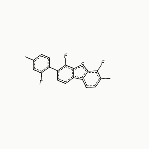 Cc1ccc(-c2ccc3c(sc4c(F)c(C)ccc43)c2F)c(F)c1